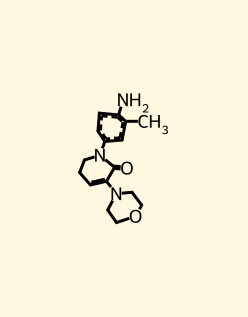 Cc1cc(N2CCC=C(N3CCOCC3)C2=O)ccc1N